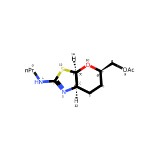 CCCNC1=N[C@@H]2[C][C][C@H](COC(C)=O)O[C@@H]2S1